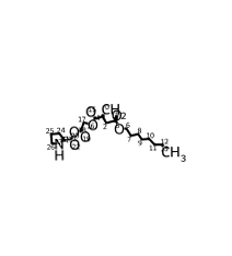 C=C(CC(=O)OCCCCCCCC)C(=O)OCC(=O)OC(=O)[C@@H]1CCCN1